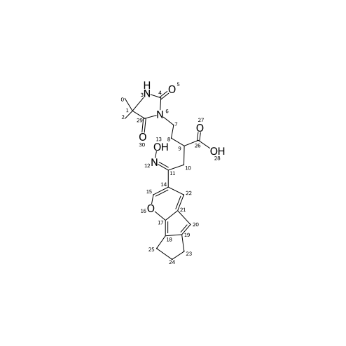 CC1(C)NC(=O)N(CCC(CC(=NO)c2coc3c4c(cc-3c2)CCC4)C(=O)O)C1=O